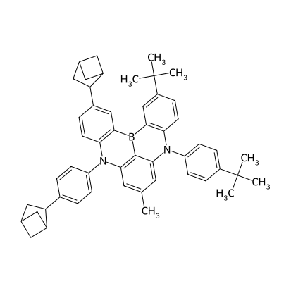 Cc1cc2c3c(c1)N(c1ccc(C(C)(C)C)cc1)c1ccc(C(C)(C)C)cc1B3c1cc(C3CC4CC3C4)ccc1N2c1ccc(C2CC3CC2C3)cc1